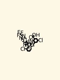 Cc1nc(C(F)(F)F)nn1Cc1cc(C(=O)Nc2c(Cl)cc(Cl)cc2C(=O)O)n(-c2ncccc2Cl)n1